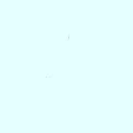 FOF.[Bi+4].[O-][Si]([O-])([O-])[O-]